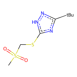 CC(C)(C)c1n[nH]c(SCS(C)(=O)=O)n1